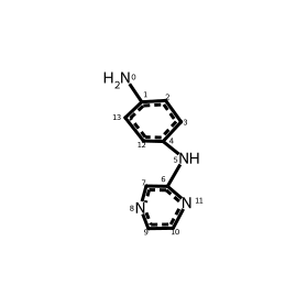 Nc1ccc(Nc2cnccn2)cc1